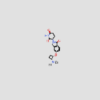 CCN(CC)[C@@H]1CC[C@@H]1Oc1ccc2c(c1)CN(C1CCC(=O)NC1=O)C2=O